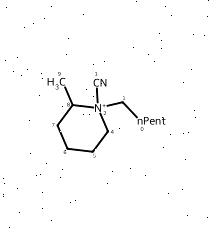 CCCCCC[N+]1(C#N)CCCCC1C